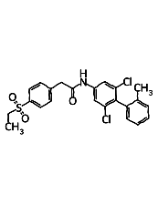 CCS(=O)(=O)c1ccc(CC(=O)Nc2cc(Cl)c(-c3ccccc3C)c(Cl)c2)cc1